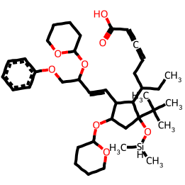 CCC(CC=C=CC(=O)O)C1C(C=CC(COc2ccccc2)OC2CCCCO2)C(OC2CCCCO2)CC1(O[SiH](C)C)C(C)(C)C